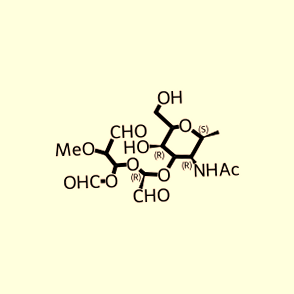 COC(C=O)C(OC=O)O[C@H](C=O)OC1[C@@H](O)C(CO)O[C@@H](C)[C@H]1NC(C)=O